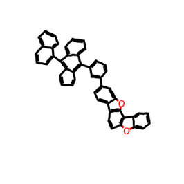 c1cc(-c2ccc3c(c2)oc2c3ccc3oc4ccccc4c32)cc(-c2c3ccccc3c(-c3cccc4ccccc34)c3ccccc23)c1